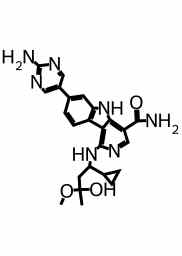 COC(C)(O)CC(Nc1ncc(C(N)=O)c2[nH]c3cc(-c4cnc(N)nc4)ccc3c12)C1CC1